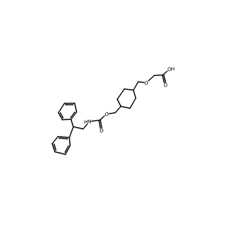 O=C(O)COCC1CCC(COC(=O)NCC(c2ccccc2)c2ccccc2)CC1